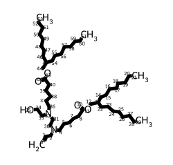 C=CCN(CCCCCC(=O)OCC(CCCCCCCC)CCCCCCCC)CCN(CCO)CCCCCC(=O)OCC(CCCCCCCC)CCCCCCCC